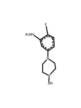 CCCN1CCN(c2ccc(F)c(NC(C)=O)c2)CC1